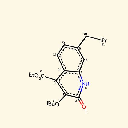 CCOC(=O)c1c(OCC(C)C)c(=O)[nH]c2cc(CC(C)C)ccc12